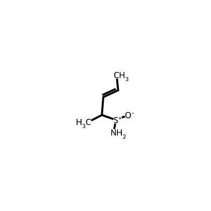 CC=CC(C)[S+](N)[O-]